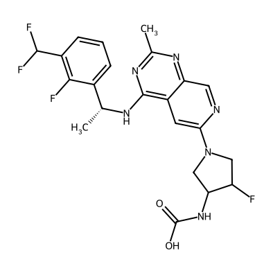 Cc1nc(N[C@H](C)c2cccc(C(F)F)c2F)c2cc(N3CC(F)C(NC(=O)O)C3)ncc2n1